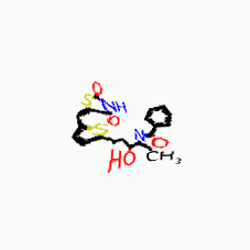 Cc1oc(-c2ccccc2)nc1C(O)CCc1ccc(C=C2SC(=O)NC2=O)s1